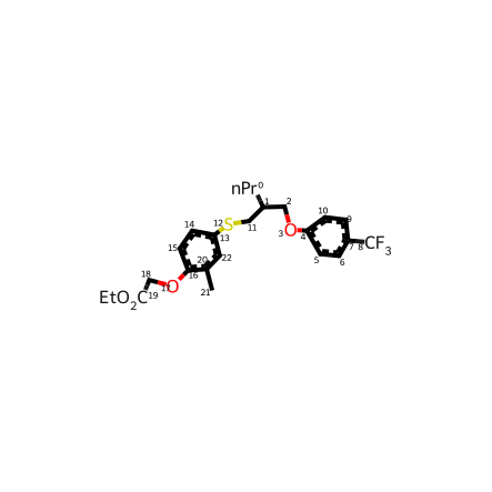 CCCC(COc1ccc(C(F)(F)F)cc1)CSc1ccc(OCC(=O)OCC)c(C)c1